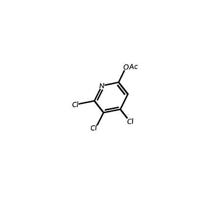 CC(=O)Oc1cc(Cl)c(Cl)c(Cl)n1